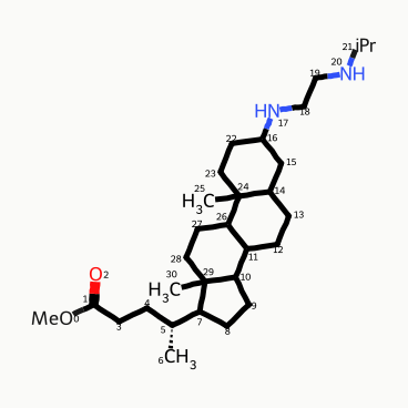 COC(=O)CC[C@@H](C)C1CCC2C3CCC4CC(NCCNC(C)C)CCC4(C)C3CCC21C